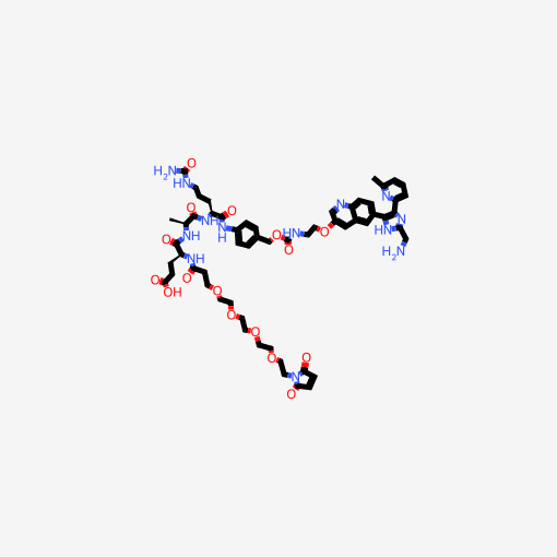 Cc1cccc(-c2nc(CN)[nH]c2-c2ccc3ncc(OCCNC(=O)OCc4ccc(NC(=O)[C@H](CCCNC(N)=O)NC(=O)[C@H](C)NC(=O)[C@H](CCC(=O)O)NC(=O)CCOCCOCCOCCOCCN5C(=O)C=CC5=O)cc4)cc3c2)n1